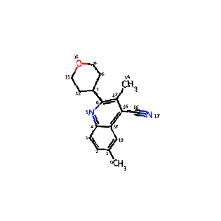 Cc1ccc2nc(C3CCOCC3)c(C)c(C#N)c2c1